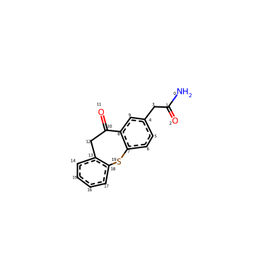 NC(=O)Cc1ccc2c(c1)C(=O)Cc1ccccc1S2